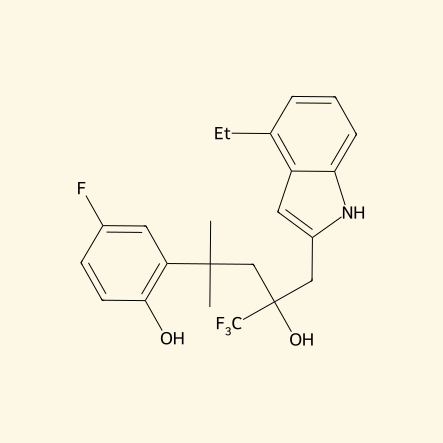 CCc1cccc2[nH]c(CC(O)(CC(C)(C)c3cc(F)ccc3O)C(F)(F)F)cc12